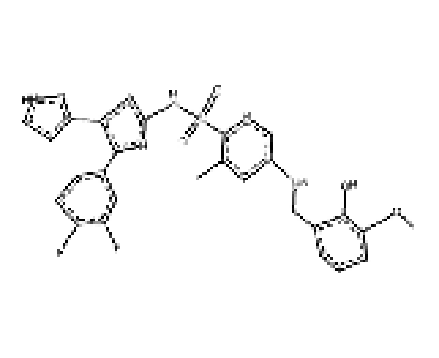 COc1cccc(CNc2cnc(S(=O)(=O)Nc3nc(-c4ccc(F)c(F)c4)c(-c4cc[nH]n4)s3)c(C)c2)c1O